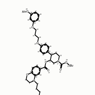 COCCCN1CCOc2ccc(C(=O)OC3CN(C(=O)OC(C)(C)C)CCC3c3ccc(OCCCOc4cccc(OC)c4)cc3)cc21